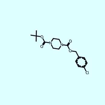 CC(C)(C)OC(=O)N1CCN(C(=O)OCc2ccc(Cl)cc2)CC1